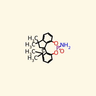 CC1(C)CC23CC(C)(C)c4cccc(c42)OP(N)(=O)Oc2cccc1c23